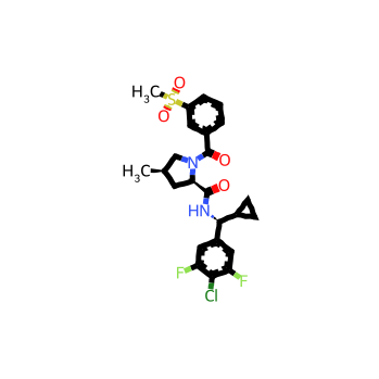 C[C@@H]1C[C@H](C(=O)N[C@@H](c2cc(F)c(Cl)c(F)c2)C2CC2)N(C(=O)c2cccc(S(C)(=O)=O)c2)C1